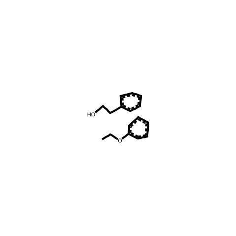 CCOc1ccccc1.OCCc1ccccc1